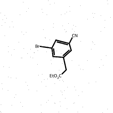 CCOC(=O)Cc1cc(Br)cc(C#N)c1